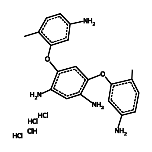 Cc1ccc(N)cc1Oc1cc(Oc2cc(N)ccc2C)c(N)cc1N.Cl.Cl.Cl.Cl